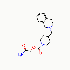 NC(=O)COC(=O)N1CCC(CN2CCc3ccccc3C2)CC1